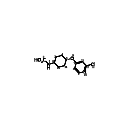 O=C(O)N[C@H]1CC[C@H](Oc2ccnc(Cl)c2)CC1